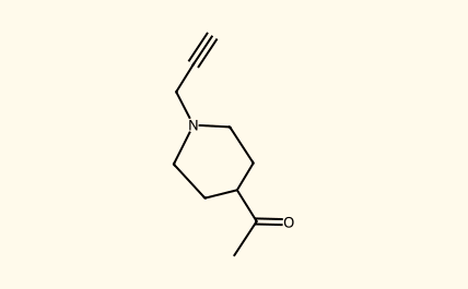 C#CCN1CCC(C(C)=O)CC1